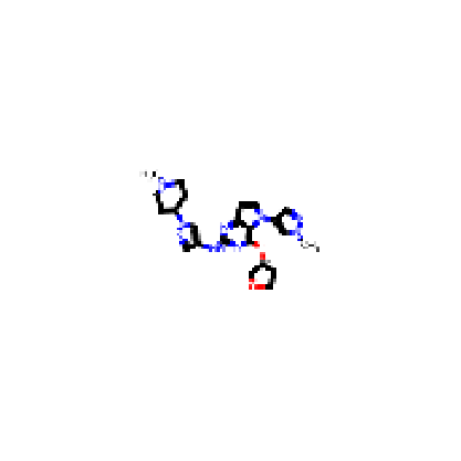 CN1CCC(n2cc(Nc3nc(O[C@H]4CCOC4)c4c(ccn4-c4cnn(C)c4)n3)cn2)CC1